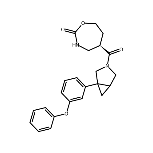 O=C1NC[C@H](C(=O)N2CC3CC3(c3cccc(Oc4ccccc4)c3)C2)CCO1